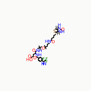 CC(C)(CNC(=O)C(CCC(=O)O)NC(=O)c1ccc(C2(C(F)(F)F)N=N2)cc1)COC(C)(C)CCCNC(=O)CCCC[C@@H]1SC[C@@H]2NC(=O)N[C@@H]21